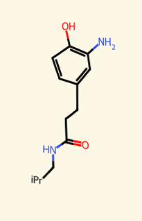 CC(C)CNC(=O)CCc1ccc(O)c(N)c1